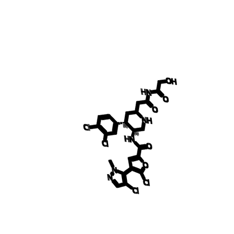 Cn1ncc(Cl)c1-c1cc(C(=O)N[C@@H]2CNC(CC(=O)NC(=O)CO)C[C@H]2c2ccc(Cl)c(Cl)c2)oc1Cl